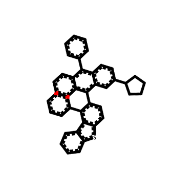 c1ccc(-c2c3ccccc3c(-c3ccc4sc5ccccc5c4c3-c3ccccc3)c3cc(C4CCCC4)ccc23)cc1